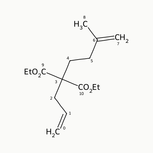 C=CCC(CCC(=C)C)(C(=O)OCC)C(=O)OCC